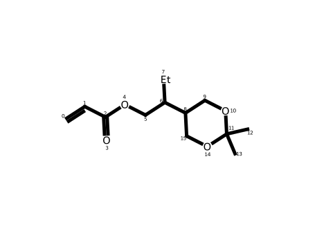 C=CC(=O)OCC(CC)C1COC(C)(C)OC1